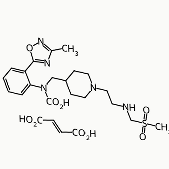 Cc1noc(-c2ccccc2N(CC2CCN(CCNCS(C)(=O)=O)CC2)C(=O)O)n1.O=C(O)C=CC(=O)O